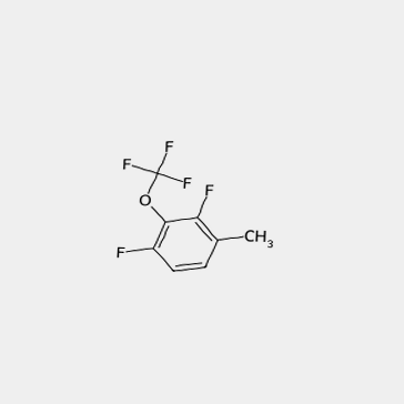 Cc1ccc(F)c(OC(F)(F)F)c1F